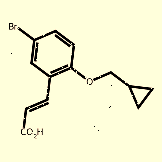 O=C(O)/C=C/c1cc(Br)ccc1OCC1CC1